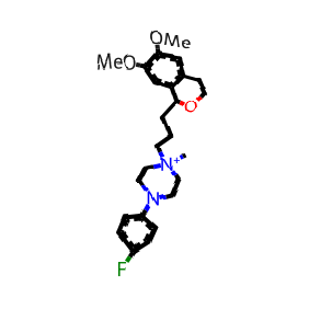 COc1cc2c(cc1OC)C(CCC[N+]1(C)CCN(c3ccc(F)cc3)CC1)OCC2